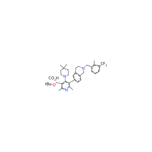 Cc1nc(C)c([C@H](OC(C)(C)C)C(=O)O)c(N2CCC(C)(C)CC2)c1-c1ccc2c(c1)CCN(Cc1cccc(C(F)(F)F)c1C)C2